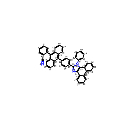 N#Cc1ccccc1-c1c2ccccc2c(-c2ccc(-c3nc4c5ccccc5c5ccccc5c4n3-c3ccccc3)cc2)c2ccccc12